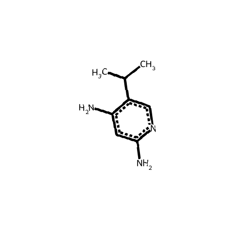 CC(C)c1cnc(N)cc1N